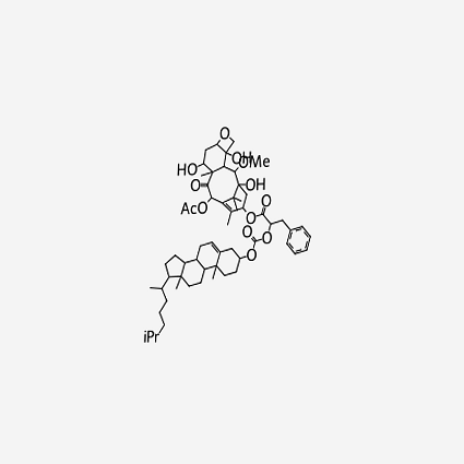 COC1C2C3(O)COC3CC(O)C2(C)C(=O)C(OC(C)=O)C2=C(C)C(OC(=O)C(Cc3ccccc3)OC(=O)OC3CCC4(C)C(=CCC5C4CCC4(C)C(C(C)CCCC(C)C)CCC54)C3)CC1(O)C2(C)C